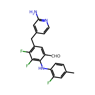 Cc1ccc(Nc2c(C=O)cc(Cc3ccnc(N)c3)c(F)c2F)c(F)c1